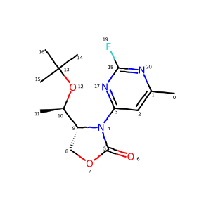 Cc1cc(N2C(=O)OC[C@@H]2[C@@H](C)OC(C)(C)C)nc(F)n1